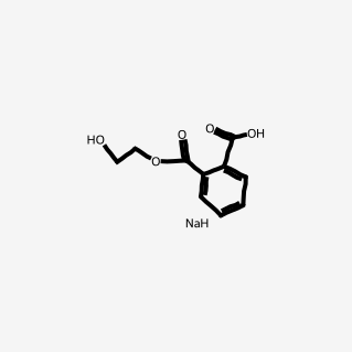 O=C(O)c1ccccc1C(=O)OCCO.[NaH]